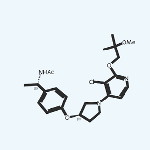 COC(C)(C)COc1nccc(N2CC[C@@H](Oc3ccc([C@H](C)NC(C)=O)cc3)C2)c1Cl